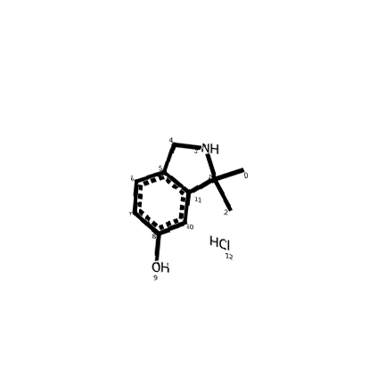 CC1(C)NCc2ccc(O)cc21.Cl